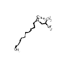 CCCCCCCCCCN(C)CC(C)C